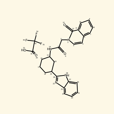 O=C(Cn1ccc2ccccc2c1=O)NC1CCCC(c2nc3ccccc3[nH]2)C1.O=C(O)C(F)(F)F